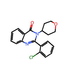 O=c1c2ccccc2nc(-c2ccccc2Cl)n1C1CCOCC1